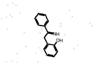 N=C(Cc1c[c]ccc1O)c1ccccc1